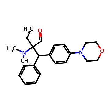 CCC(C=O)(C(c1ccccc1)c1ccc(N2CCOCC2)cc1)N(C)C